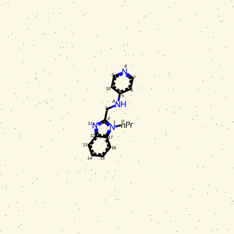 CCCn1c(CNc2ccncc2)nc2ccccc21